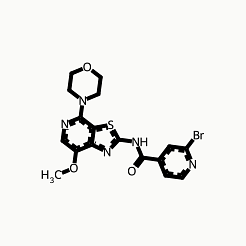 COc1cnc(N2CCOCC2)c2sc(NC(=O)c3ccnc(Br)c3)nc12